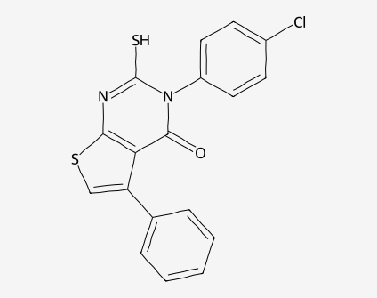 O=c1c2c(-c3ccccc3)csc2nc(S)n1-c1ccc(Cl)cc1